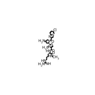 CNC(=O)[C@@H](CCCCNC(=N)N)NC(=O)C1=CSC([C@@H]2C[C@@H](N)CN2C(=O)c2cn3cc(Cl)ccc3n2)N1C